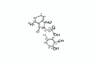 [2H]c1cccc2c1C(=O)N([C@@H](Cc1ccc(O)c(O)c1)C(=O)O)C2=O